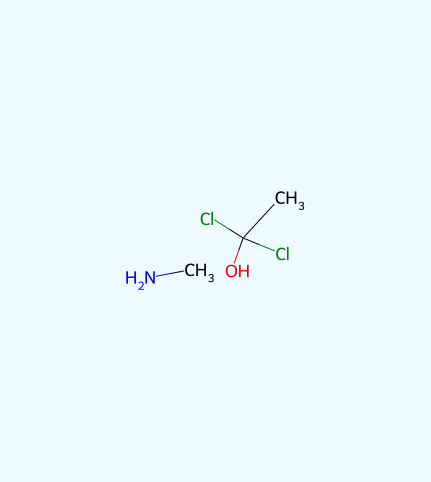 CC(O)(Cl)Cl.CN